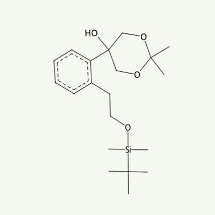 CC1(C)OCC(O)(c2ccccc2CCO[Si](C)(C)C(C)(C)C)CO1